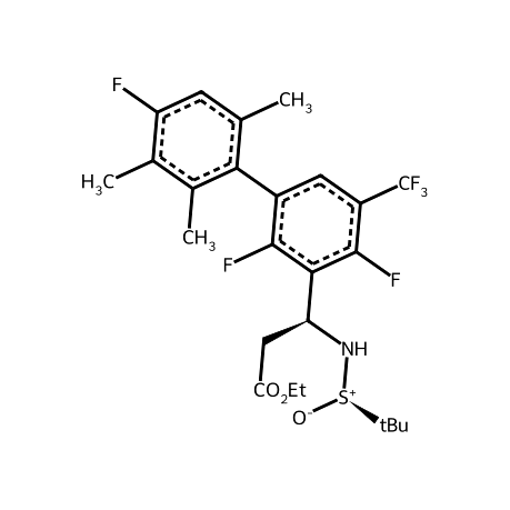 CCOC(=O)C[C@H](N[S@+]([O-])C(C)(C)C)c1c(F)c(-c2c(C)cc(F)c(C)c2C)cc(C(F)(F)F)c1F